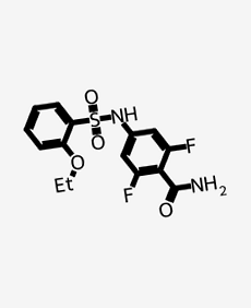 CCOc1ccccc1S(=O)(=O)Nc1cc(F)c(C(N)=O)c(F)c1